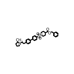 CC1CCCN1CCc1ccc(-c2ccc(S(=O)(=O)N3CCC(C(=O)OCc4ccccc4)CC3)cc2)cc1